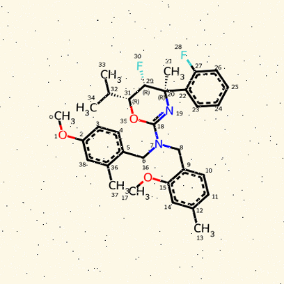 COc1ccc(CN(Cc2ccc(C)cc2OC)C2=N[C@](C)(c3ccccc3F)[C@@H](F)[C@@H](C(C)C)O2)c(C)c1